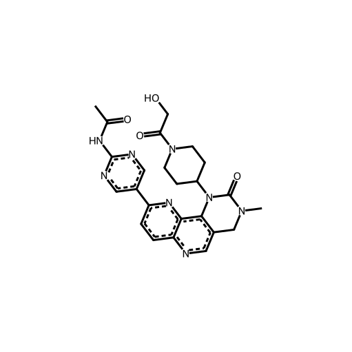 CC(=O)Nc1ncc(-c2ccc3ncc4c(c3n2)N(C2CCN(C(=O)CO)CC2)C(=O)N(C)C4)cn1